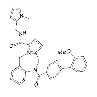 COc1ccccc1-c1ccc(C(=O)N2Cc3ccc(C(=O)NCc4cccn4C)n3Cc3ccccc32)cc1